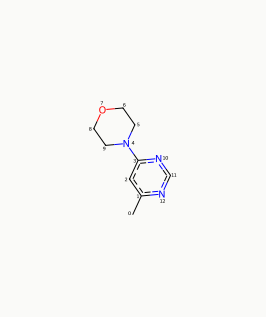 Cc1cc(N2CCOCC2)ncn1